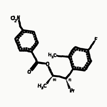 Cc1cc(F)ccc1[C@H](C(C)C)[C@H](C)OC(=O)c1ccc([N+](=O)[O-])cc1